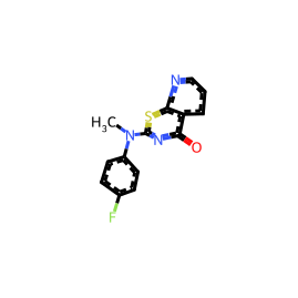 CN(c1ccc(F)cc1)c1nc(=O)c2cccnc2s1